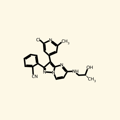 Cc1cc(-c2c(-c3ccccc3C#N)nn3ccc(NC[C@@H](C)O)nc23)cc(Cl)n1